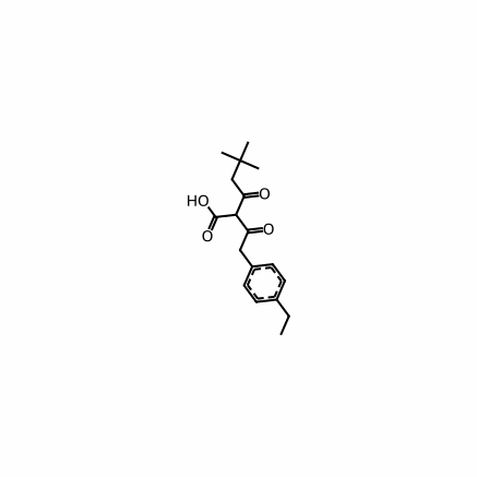 CCc1ccc(CC(=O)C(C(=O)O)C(=O)CC(C)(C)C)cc1